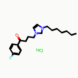 CCCCCCCN1C=CN(CCCC(=O)c2ccc(F)cc2)C1.Cl